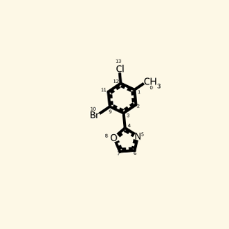 Cc1cc(-c2ncco2)c(Br)cc1Cl